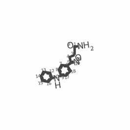 NC(=O)C1CC(c2ccc(Nc3ccccc3)cc2)=NO1